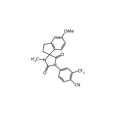 COc1ccc2c(c1)CCC21C(=O)N(c2ccc(C#N)c(C(F)(F)F)c2)C(=O)N1C